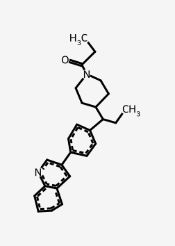 CCC(=O)N1CCC(C(CC)c2ccc(-c3cnc4ccccc4c3)cc2)CC1